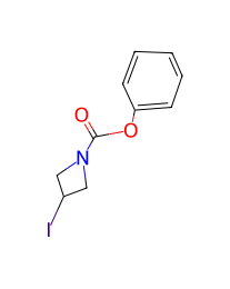 O=C(Oc1ccccc1)N1CC(I)C1